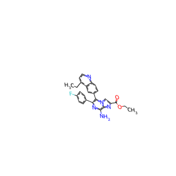 CCOC(=O)c1cn2c(-c3ccc4nccc(CC)c4c3)c(-c3ccc(F)cc3)nc(N)c2n1